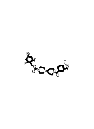 O=C(OCc1c(F)cc(Br)cc1F)N1CCN(C2CCN(C(=O)c3ccc4[nH]nnc4c3)CC2)CC1